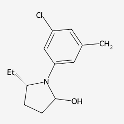 CC[C@H]1CCC(O)N1c1cc(C)cc(Cl)c1